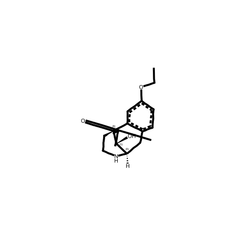 CCOc1ccc2c(c1)[C@]13CCN[C@H](C2)[C@]1(O)CCC(=O)C3